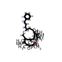 CC[C@H]1OC(=O)[C@@](C)(F)C(=O)[C@H](C)[C@@H](C(C)(C)C)[C@]2(C)CC/C(=C/C=C/c3ccccc3)CC[C@H]([C@@H](C)/C(=N/C(C)=O)[C@H](C)C2)[C@]1(C)O